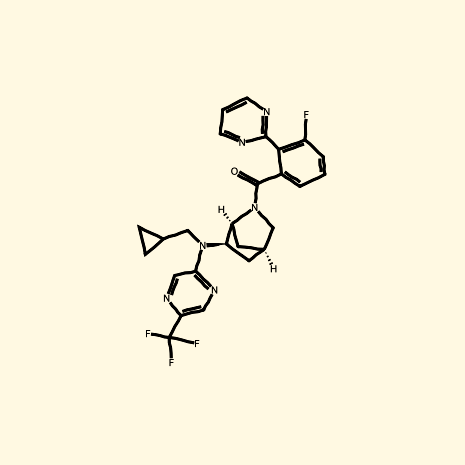 O=C(c1cccc(F)c1-c1ncccn1)N1C[C@H]2C[C@@H](N(CC3CC3)c3cnc(C(F)(F)F)cn3)[C@@H]1C2